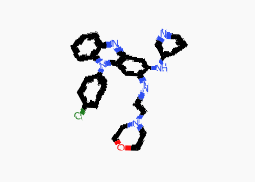 Clc1ccc(-n2c3c/c(=N\CCN4CCOCC4)c(Nc4cccnc4)cc-3nc3ccccc32)cc1